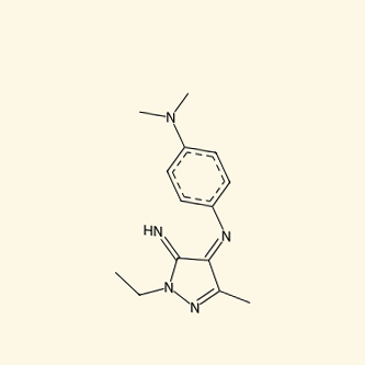 CCN1N=C(C)C(=Nc2ccc(N(C)C)cc2)C1=N